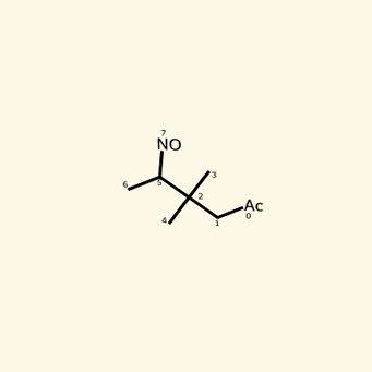 CC(=O)CC(C)(C)C(C)N=O